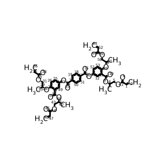 C=CC(=O)OCC(C)OC(=O)c1cc(OC(=O)c2ccc(C(=O)Oc3ccc(OC(C)COC(=O)C=C)c(C(=O)OC(C)COC(=O)C=C)c3)cc2)ccc1OC(C)COC(=O)C=C